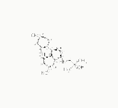 CC(C)(O)CNc1nnc(-c2ccc(Cl)cc2O)c2ccc(C#N)cc12